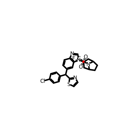 O=S(=O)(N1C2CCC1CC(n1cnc3ccc(C(c4ccc(Cl)cc4)c4nccs4)cc31)C2)C(F)(F)F